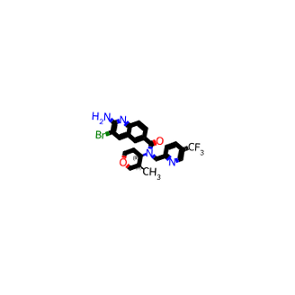 C[C@@H]1COCC[C@H]1N(Cc1ccc(C(F)(F)F)cn1)C(=O)c1ccc2nc(N)c(Br)cc2c1